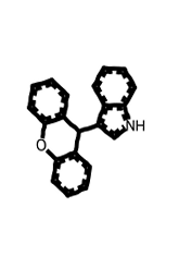 c1ccc2c(c1)Oc1ccccc1C2c1c[nH]c2ccccc12